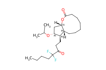 CCCCC(F)(F)C(=O)CC[C@@H]1[C@H]2CCCCCCC(=O)O[C@H]2C[C@H]1OC(C)C